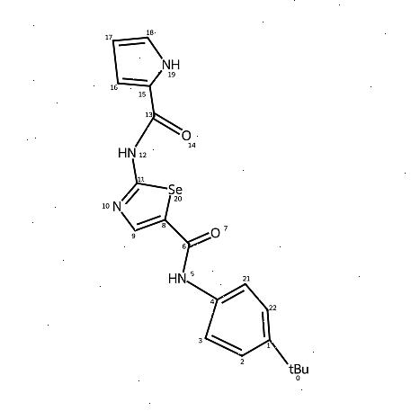 CC(C)(C)c1ccc(NC(=O)c2cnc(NC(=O)c3ccc[nH]3)[se]2)cc1